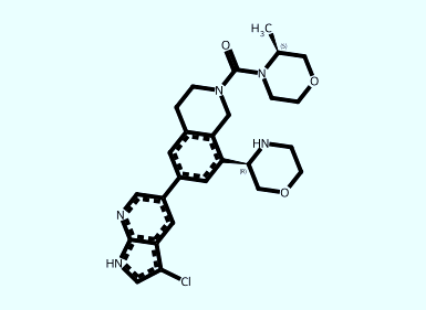 C[C@H]1COCCN1C(=O)N1CCc2cc(-c3cnc4[nH]cc(Cl)c4c3)cc([C@@H]3COCCN3)c2C1